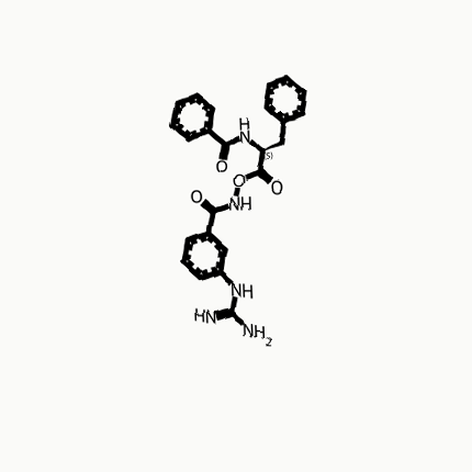 N=C(N)Nc1cccc(C(=O)NOC(=O)[C@H](Cc2ccccc2)NC(=O)c2ccccc2)c1